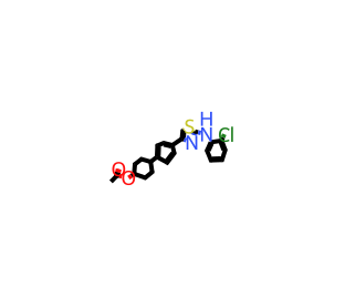 CC(=O)OC1CCC(c2ccc(-c3csc(Nc4ccccc4Cl)n3)cc2)CC1